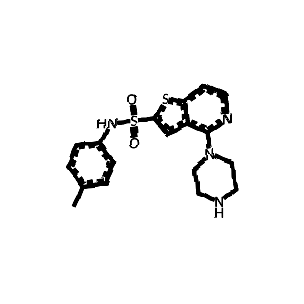 Cc1ccc(NS(=O)(=O)c2cc3c(N4CCNCC4)nccc3s2)cc1